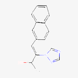 CC(C)(C)C(O)/C(=C/c1ccc2ccccc2c1)n1cncn1